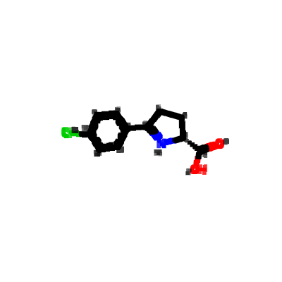 O=C(O)[C@H]1CCC(c2ccc(Cl)cc2)=N1